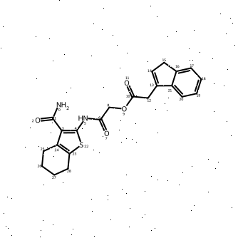 NC(=O)c1c(NC(=O)COC(=O)CC2=CCc3ccccc32)sc2c1CCCC2